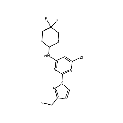 FCc1ccn(-c2nc(Cl)cc(NC3CCC(F)(F)CC3)n2)n1